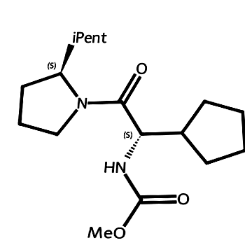 CCCC(C)[C@@H]1CCCN1C(=O)[C@@H](NC(=O)OC)C1CCCC1